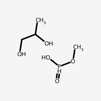 CC(O)CO.CO[PH](=O)O